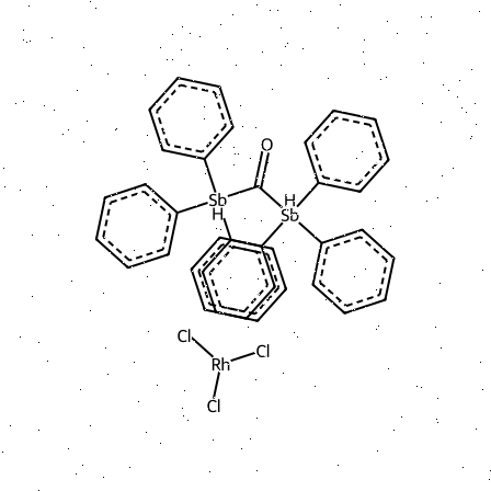 O=[C]([SbH]([c]1ccccc1)([c]1ccccc1)[c]1ccccc1)[SbH]([c]1ccccc1)([c]1ccccc1)[c]1ccccc1.[Cl][Rh]([Cl])[Cl]